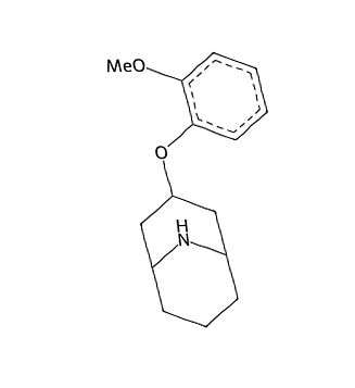 COc1ccccc1OC1CC2CCCC(C1)N2